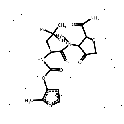 Cc1occc1OC(=O)N[C@@H](CC(C)(C)C(C)C)C(=O)N(C)C1C(=O)COC1C(N)=O